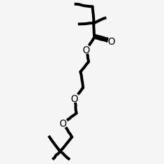 CCC(C)(C)C(=O)OCCCOCOCC(C)(C)C